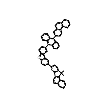 CC1(C)c2ccc(-c3ccc4oc5ccc(-c6c7ccccc7c(-c7ccc8c(ccc9ccccc98)c7)c7ccccc67)cc5c4c3)cc2-c2ccc3ccccc3c21